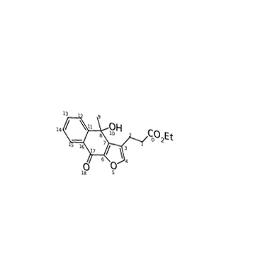 CCOC(=O)CCc1coc2c1C(C)(O)c1ccccc1C2=O